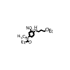 CCOCCCNc1ccc(N(C)C(=O)CC)cc1[N+](=O)[O-]